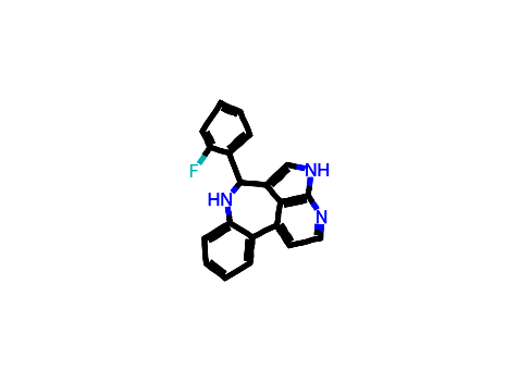 Fc1ccccc1C1Nc2ccccc2-c2ccnc3[nH]cc1c23